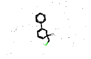 FC(F)(F)C1(CCl)C=CC=C(c2ccccc2)C1